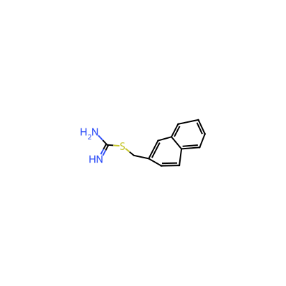 N=C(N)SCc1ccc2ccccc2c1